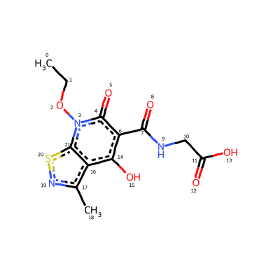 CCOn1c(=O)c(C(=O)NCC(=O)O)c(O)c2c(C)nsc21